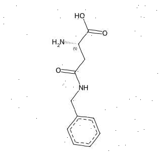 N[C@@H](CC(=O)NCc1ccccc1)C(=O)O